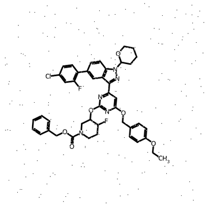 CCOc1ccc(COc2cc(-c3nn(C4CCCCO4)c4ccc(-c5ccc(Cl)cc5F)cc34)nc(OC3CN(C(=O)OCc4ccccc4)CCC3F)n2)cc1